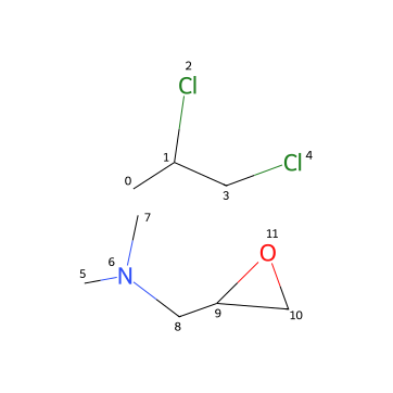 CC(Cl)CCl.CN(C)CC1CO1